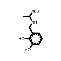 CCCCC(C)NCc1cccc(O)c1O